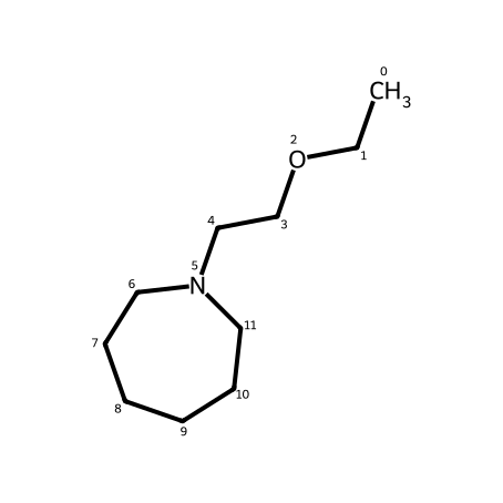 CCOCCN1CCCCCC1